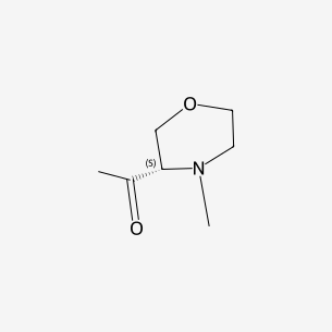 CC(=O)[C@@H]1COCCN1C